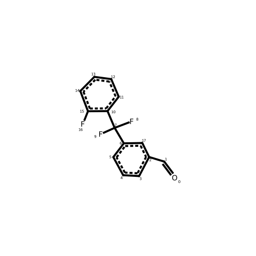 O=Cc1cccc(C(F)(F)c2ccccc2F)c1